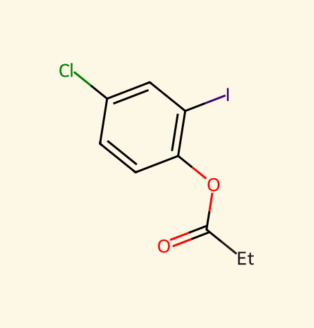 CCC(=O)Oc1ccc(Cl)cc1I